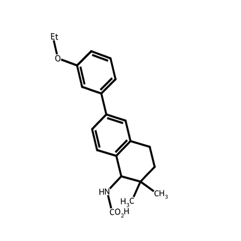 CCOc1cccc(-c2ccc3c(c2)CCC(C)(C)C3NC(=O)O)c1